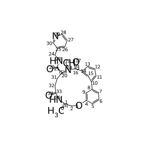 C[C@H]1COc2cccc(c2)-c2cccc(c2)C(=O)N(C)[C@H](C(=O)NCc2cccnc2)CCC(=O)N1